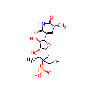 CCC(CC)(C[C@H]1O[C@@H](c2cn(C)c(=O)[nH]c2=O)[C@H](O)[C@@H]1O)O[PH](=O)O